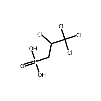 O=P(O)(O)CC(Cl)C(Cl)(Cl)Cl